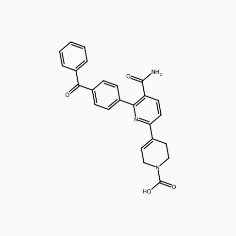 NC(=O)c1ccc(C2=CCN(C(=O)O)CC2)nc1-c1ccc(C(=O)c2ccccc2)cc1